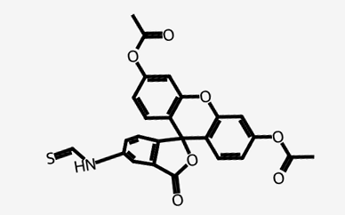 CC(=O)Oc1ccc2c(c1)Oc1cc(OC(C)=O)ccc1C21OC(=O)c2cc(NC=S)ccc21